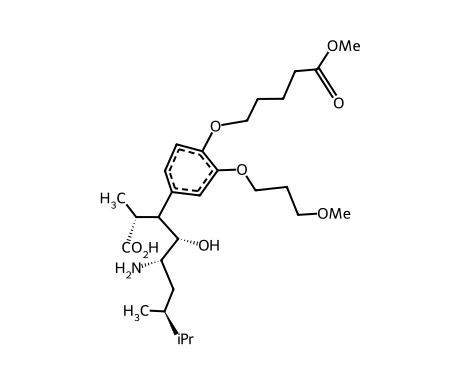 COCCCOc1cc(C([C@@H](C)C(=O)O)[C@H](O)[C@@H](N)C[C@H](C)C(C)C)ccc1OCCCCC(=O)OC